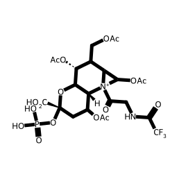 CC(=O)OCC1C2C(OC(C)=O)[N+]2(C(=O)CNC(=O)C(F)(F)F)[C@@H]2C(OC(C)=O)C[C@@](OP(=O)(O)O)(C(=O)O)OC2[C@@H]1OC(C)=O